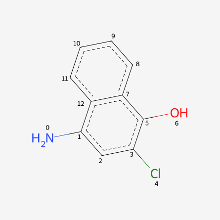 Nc1cc(Cl)c(O)c2ccccc12